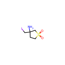 NC1(CI)CCS(=O)(=O)C1